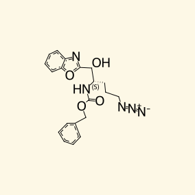 [N-]=[N+]=NCCC[C@H](NC(=O)OCc1ccccc1)C(O)c1nc2ccccc2o1